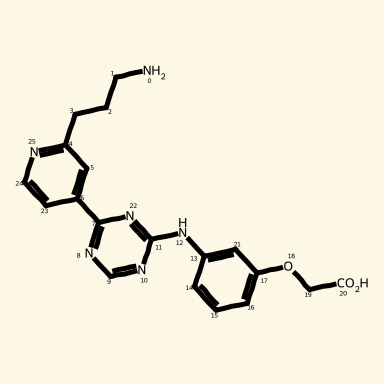 NCCCc1cc(-c2ncnc(Nc3cccc(OCC(=O)O)c3)n2)ccn1